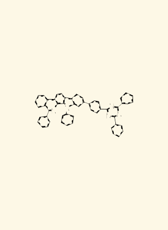 c1ccc(-c2nc(-c3ccccc3)nc(-c3ccc(-c4ccc5c6ccc7c8ccccc8c(-c8ccccc8)nc7c6n(-c6ccccc6)c5c4)cc3)n2)cc1